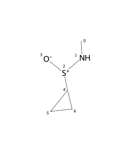 CN[S+]([O-])C1CC1